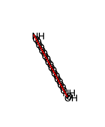 CNCCOCCOCCOCCOCCOCCOCCOCCOCCOCCOCCOCCOCCOCCOCCOCCOCCOCCOCCOCCNCCCC(=O)O